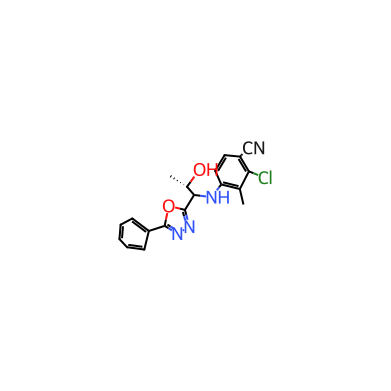 Cc1c(NC(c2nnc(-c3ccccc3)o2)[C@H](C)O)ccc(C#N)c1Cl